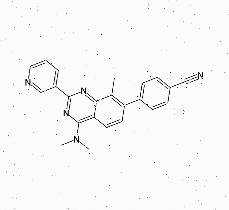 Cc1c(-c2ccc(C#N)cc2)ccc2c(N(C)C)nc(-c3cccnc3)nc12